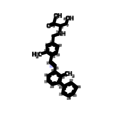 Cc1cc(CNC(CO)C(=O)O)ccc1/C=C/c1cccc(-c2ccccc2)c1C